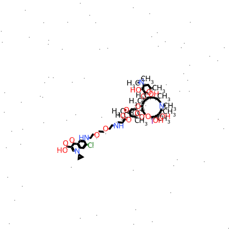 CO[C@]1(C)C[C@H](O[C@H]2[C@H](C)[C@@H](O[C@@H]3O[C@H](C)C[C@H](N(C)C)[C@H]3O)[C@](C)(O)C[C@@H](C)CN(C)[C@H](C)[C@@H](O)[C@](C)(O)[C@@H](I)OC(=O)[C@@H]2C)O[C@@H](C)[C@@H]1OC(=O)CCNCCOCCOCCNc1cc2c(=O)c(C(=O)O)cn(C3CC3)c2cc1Cl